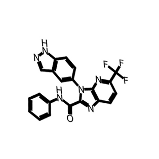 O=C(Nc1ccccc1)c1nc2ccc(C(F)(F)F)nc2n1-c1ccc2[nH]ncc2c1